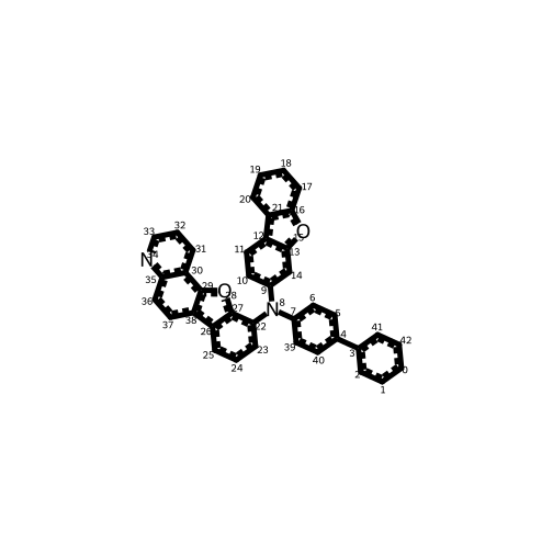 c1ccc(-c2ccc(N(c3ccc4c(c3)oc3ccccc34)c3cccc4c3oc3c5cccnc5ccc43)cc2)cc1